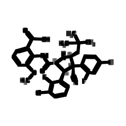 COc1cccc(C(=O)O)c1NC(=O)[C@@H]1N[C@@H](CC(C)(C)C)[C@](C#N)(c2ccc(Cl)cc2F)[C@H]1c1cccc(Cl)c1F